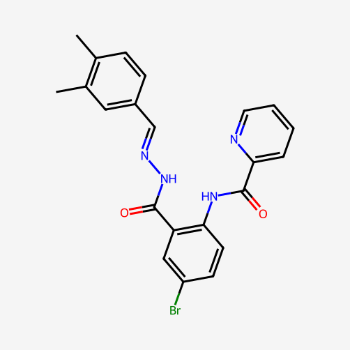 Cc1ccc(C=NNC(=O)c2cc(Br)ccc2NC(=O)c2ccccn2)cc1C